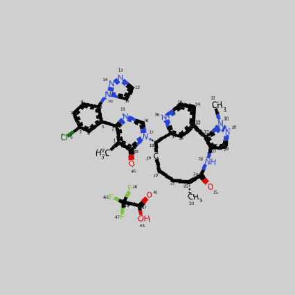 Cc1c(-c2cc(Cl)ccc2-n2ccnn2)ncn([C@H]2CCC[C@@H](C)C(=O)Nc3cnn(C)c3-c3ccnc2c3)c1=O.O=C(O)C(F)(F)F